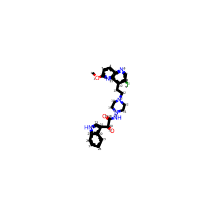 COc1ccc2ncc(F)c(CCN3CCN(NC(=O)C(=O)c4c[nH]c5ccccc45)CC3)c2n1